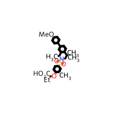 CCC(Oc1ccc(S(=O)(=O)N2CC(C)(C)c3ccc(-c4ccc(OC)cc4)cc3C2C)cc1C)C(=O)O